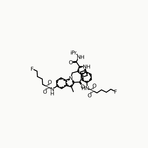 Cc1c(C(=O)N2CCC2)n(Cc2c(C(=O)NC(C)C)[nH]c3ccc(NS(=O)(=O)CCCCF)cc23)c2ccc(NS(=O)(=O)CCCCF)cc12